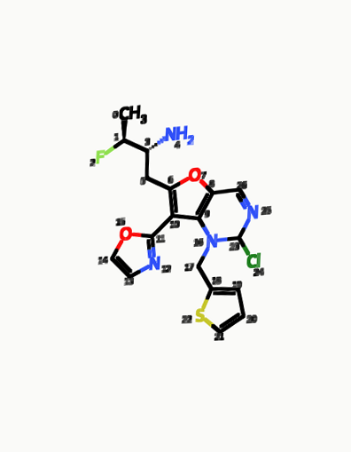 C[C@H](F)[C@H](N)Cc1oc2c(c1-c1ncco1)N(Cc1cccs1)C(Cl)N=C2